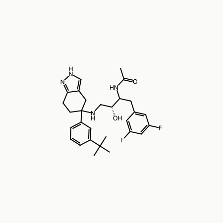 CC(=O)NC(Cc1cc(F)cc(F)c1)[C@H](O)CNC1(c2cccc(C(C)(C)C)c2)CCc2n[nH]cc2C1